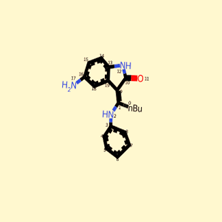 CCCCC(Nc1ccccc1)=C1C(=O)Nc2ccc(N)cc21